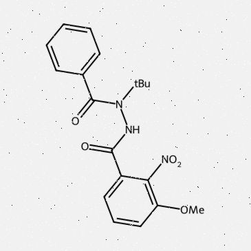 COc1cccc(C(=O)NN(C(=O)c2ccccc2)C(C)(C)C)c1[N+](=O)[O-]